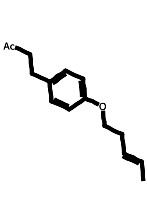 CC=CCCOc1ccc(CCC(C)=O)cc1